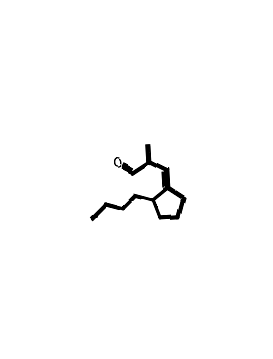 CCCCC1CCC/C1=C/C(C)C=O